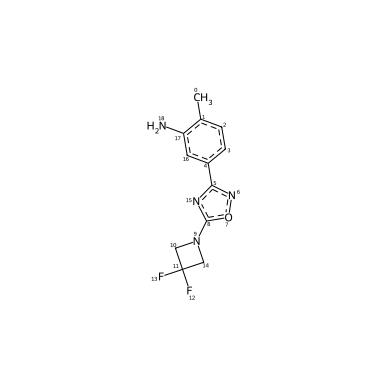 Cc1ccc(-c2noc(N3CC(F)(F)C3)n2)cc1N